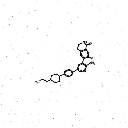 CCCN1CCC(c2ccc(-c3cnc(N)c(-c4cc5c(cc4F)C(=O)NCC5)c3)cc2)CC1